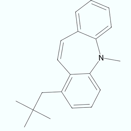 CN1c2ccccc2C=Cc2c(CC(C)(C)C)cccc21